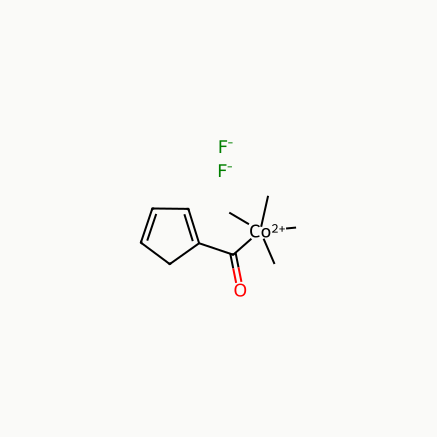 [CH3][Co+2]([CH3])([CH3])([CH3])[C](=O)C1=CC=CC1.[F-].[F-]